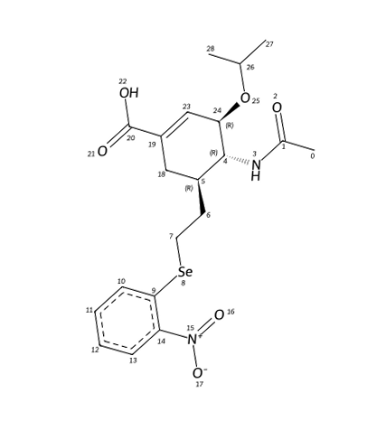 CC(=O)N[C@@H]1[C@@H](CC[Se]c2ccccc2[N+](=O)[O-])CC(C(=O)O)=C[C@H]1OC(C)C